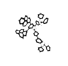 c1ccc(-c2nc3cc(-c4ccc(-c5nc(-c6ccc7c(c6)nc(-c6ccccc6)n7-c6ccccc6)c6cc(-c7ccc8ccc9cccc%10ccc7c8c9%10)cc(-c7ccc8ccc9cccc%10ccc7c8c9%10)c6n5)cc4)ccc3n2-c2ccccc2)cc1